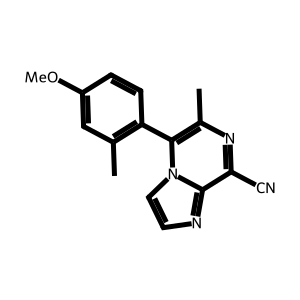 COc1ccc(-c2c(C)nc(C#N)c3nccn23)c(C)c1